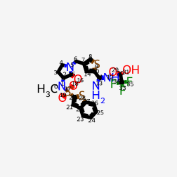 CN(C1CCN(Cc2csc(C(=N)N)c2)C1=O)S(=O)(=O)c1cc2ccccc2s1.O=C(O)C(F)(F)F